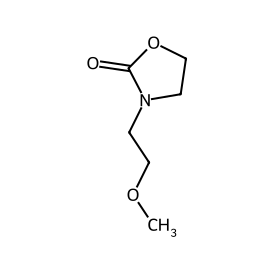 COCCN1CCOC1=O